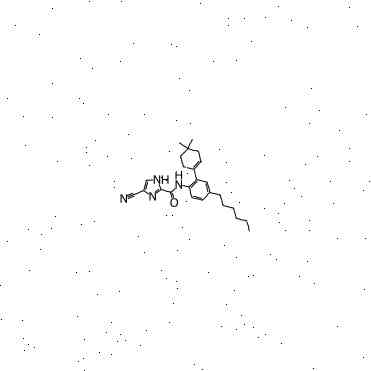 CCCCCCc1ccc(NC(=O)c2nc(C#N)c[nH]2)c(C2=CCC(C)(C)CC2)c1